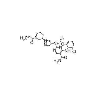 C=CC(=O)N1CCC[C@@H](n2cc(Nc3ncc(C(N)=O)c(Nc4c(Cl)cccc4OC)n3)cn2)C1